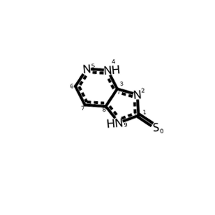 S=c1nc2[nH]nccc-2[nH]1